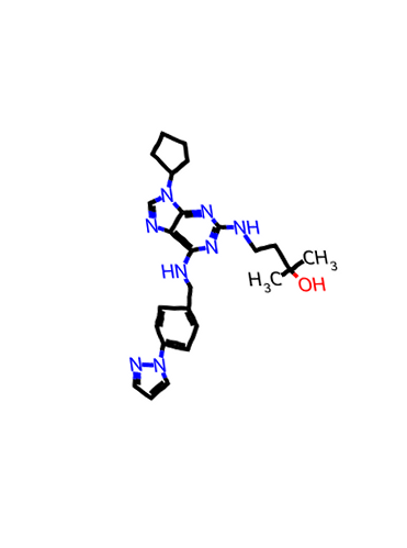 CC(C)(O)CCNc1nc(NCc2ccc(-n3cccn3)cc2)c2ncn(C3CCCC3)c2n1